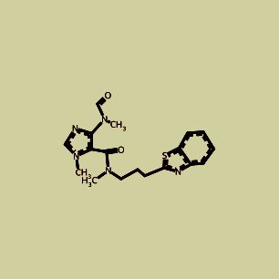 CN(CCCc1nc2ccccc2s1)C(=O)c1c(N(C)C=O)ncn1C